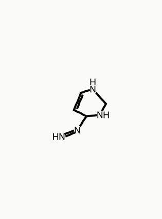 N=NC1C=CNCN1